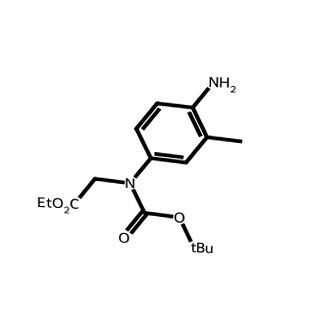 CCOC(=O)CN(C(=O)OC(C)(C)C)c1ccc(N)c(C)c1